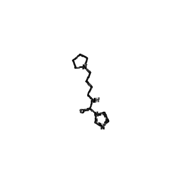 O=C(NCCCCN1CCCC1)n1ccnc1